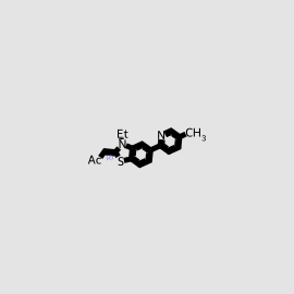 CCN1/C(=C/C(C)=O)Sc2ccc(-c3ccc(C)cn3)cc21